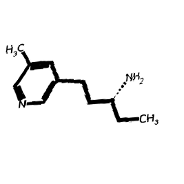 CC[C@@H](N)CCc1cncc(C)c1